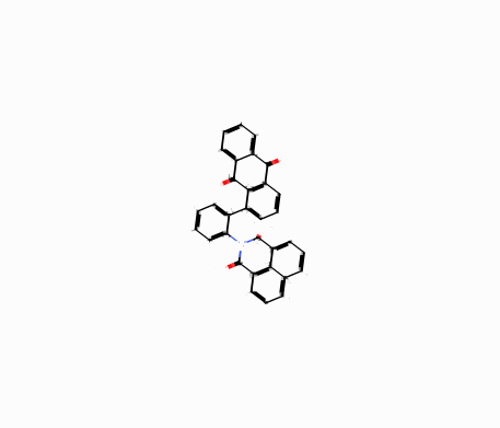 O=C1c2ccccc2C(=O)c2c1cccc2-c1ccccc1N1C(=O)c2cccc3cccc(c23)C1=O